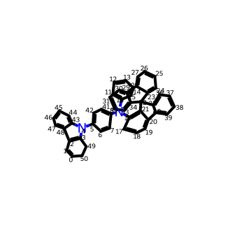 C1=Cc2c(n(-c3ccc(N(c4ccccc4)c4cccc5c4C4(c6ccccc6-c6ccccc64)c4ccccc4-5)cc3)c3ccccc23)CC1